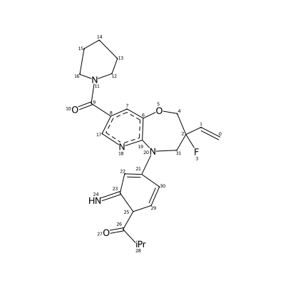 C=CC1(F)COc2cc(C(=O)N3CCCCC3)cnc2N(C2=CC(=N)C(C(=O)C(C)C)C=C2)C1